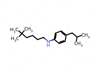 CC(C)Cc1ccc(NCCCCC(C)(C)C)cc1